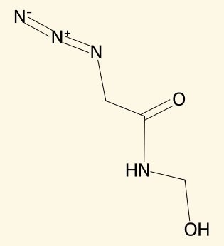 [N-]=[N+]=NCC(=O)NCO